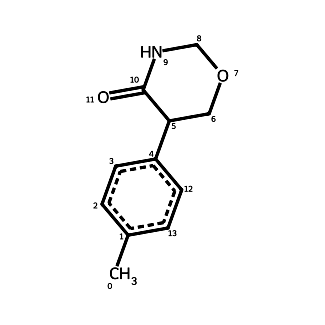 Cc1ccc(C2COCNC2=O)cc1